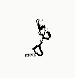 COc1ccc(COc2cccn3cc(CO)nc23)cc1